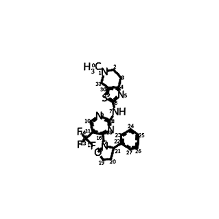 CN1CCc2nc(Nc3ncc(C(F)(F)F)c(N4OCCC4c4ccccc4)n3)sc2C1